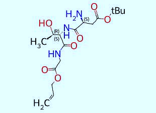 C=CCOC(=O)CNC(=O)[C@@H](NC(=O)[C@@H](N)CC(=O)OC(C)(C)C)[C@@H](C)O